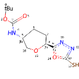 CC(C)(C)OC(=O)N[C@@H]1CC[C@@H](c2nnc(S)o2)OC1